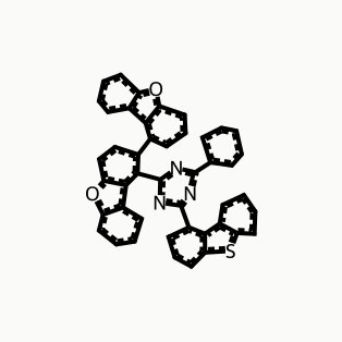 c1ccc(-c2nc(-c3c(-c4cccc5oc6ccccc6c45)ccc4oc5ccccc5c34)nc(-c3cccc4sc5ccccc5c34)n2)cc1